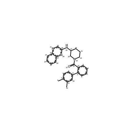 Cc1ccc(-c2ccccc2C(=O)N2CCCC(Nc3cnc4ccccc4n3)C2)cc1C